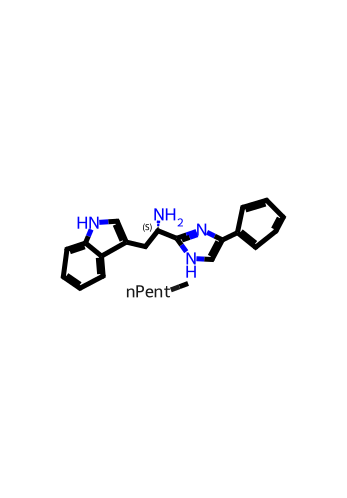 CCCCCC.N[C@@H](Cc1c[nH]c2ccccc12)c1nc(-c2ccccc2)c[nH]1